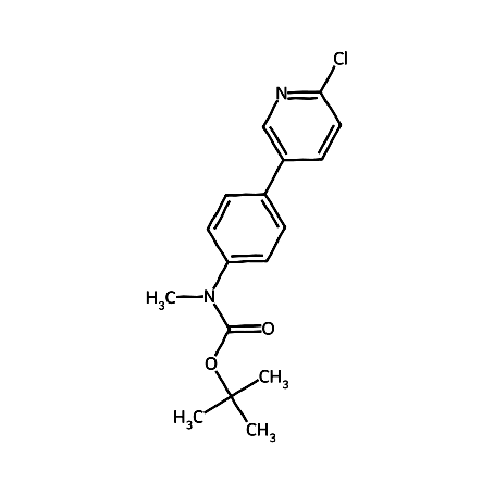 CN(C(=O)OC(C)(C)C)c1ccc(-c2ccc(Cl)nc2)cc1